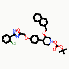 CC(C)(C)OC(=O)ON1CCC(c2ccc(OCc3nc(-c4ccccc4Cl)no3)cc2)C(OCc2ccc3ccccc3c2)C1